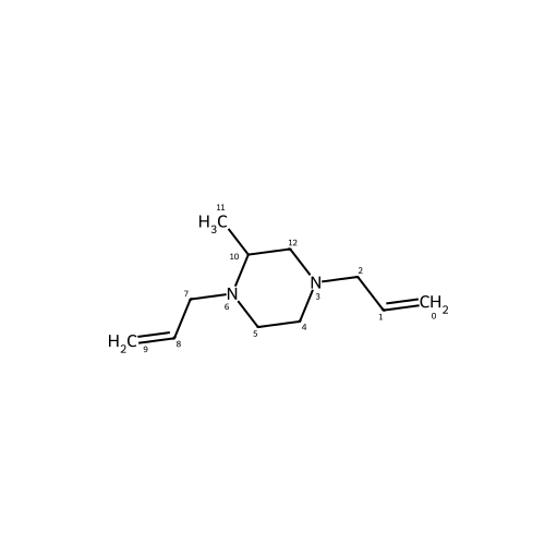 C=CCN1CCN(CC=C)C(C)C1